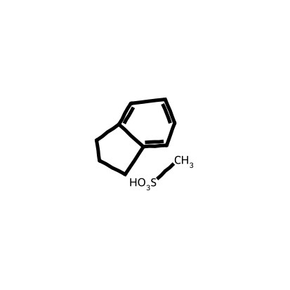 CS(=O)(=O)O.c1ccc2c(c1)CCC2